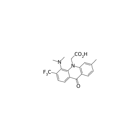 Cc1ccc2c(=O)c3ccc(C(F)(F)F)c(N(C)C)c3n(CC(=O)O)c2c1